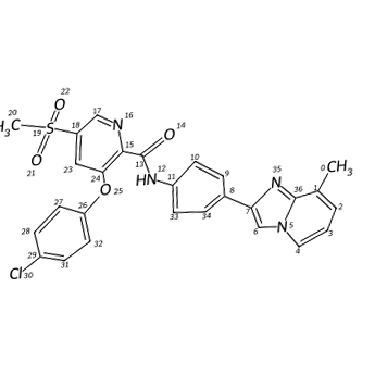 Cc1cccn2cc(-c3ccc(NC(=O)c4ncc(S(C)(=O)=O)cc4Oc4ccc(Cl)cc4)cc3)nc12